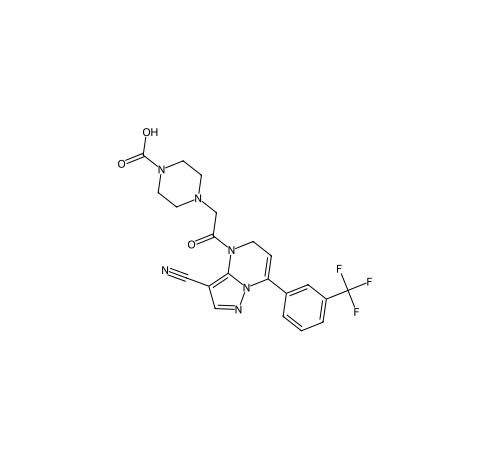 N#Cc1cnn2c1N(C(=O)CN1CCN(C(=O)O)CC1)CC=C2c1cccc(C(F)(F)F)c1